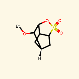 CCOC1C2OS(=O)(=O)C3C[C@@H]1CC23